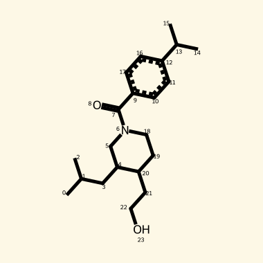 CC(C)CC1CN(C(=O)c2ccc(C(C)C)cc2)CCC1CCO